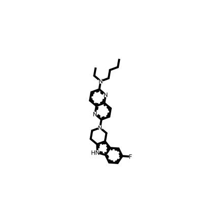 CCCCN(CC)c1ccc2nc(N3CCc4[nH]c5ccc(F)cc5c4C3)ccc2n1